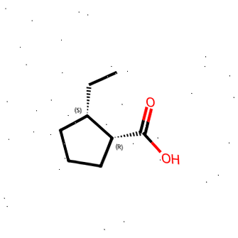 CC[C@H]1CCC[C@H]1C(=O)O